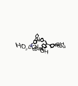 CC(C)(C)N(O)c1ccc(C(=Cc2ccc(N3c4ccc(/C=C(\C#N)C(=O)O)cc4C4CCCC43)cc2)c2ccc(N(O)C(C)(C)C)cc2)cc1